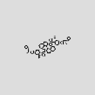 CCC1(COc2ccc(C(=O)Oc3ccc4ccccc4c3-c3c(OC(=O)c4ccc(OCC5(CC)COC5)cc4F)ccc4ccccc34)c(F)c2)COC1